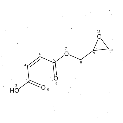 O=C(O)/C=C\C(=O)OCC1CO1